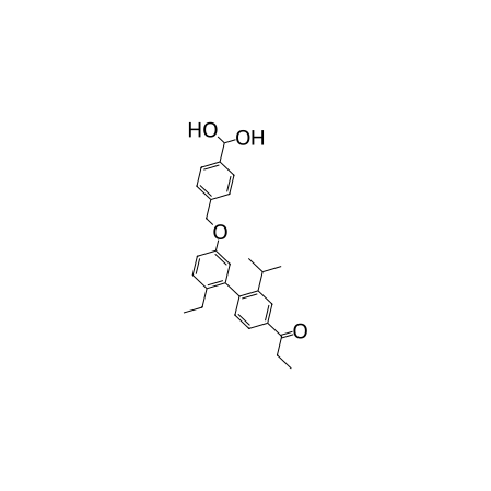 CCC(=O)c1ccc(-c2cc(OCc3ccc(C(O)O)cc3)ccc2CC)c(C(C)C)c1